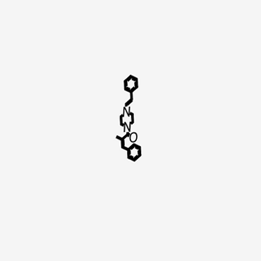 CC(=Cc1ccccc1)C(=O)N1CCN(C=Cc2ccccc2)CC1